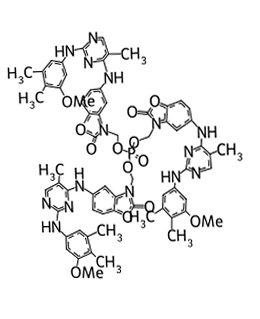 COc1cc(Nc2ncc(C)c(Nc3ccc4oc(=O)n(COP(=O)(OCn5c(=O)oc6ccc(Nc7nc(Nc8cc(C)c(C)c(OC)c8)ncc7C)cc65)OCn5c(=O)oc6ccc(Nc7nc(Nc8cc(C)c(C)c(OC)c8)ncc7C)cc65)c4c3)n2)cc(C)c1C